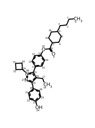 CCCCC1CCC(C(=O)Oc2ccc(-c3c(CC)c(-c4ccc(O)cc4)nn3C3CCC3)cc2)CC1